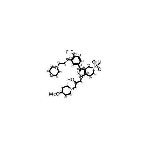 COC1CCN(CC(O)Cn2nc(-c3ccc(C(F)(F)F)c(SCCN4CCOCC4)c3)c3c2CCN(S(C)(=O)=O)C3)CC1